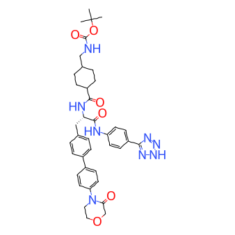 CC(C)(C)OC(=O)NCC1CCC(C(=O)N[C@@H](Cc2ccc(-c3ccc(N4CCOCC4=O)cc3)cc2)C(=O)Nc2ccc(-c3nn[nH]n3)cc2)CC1